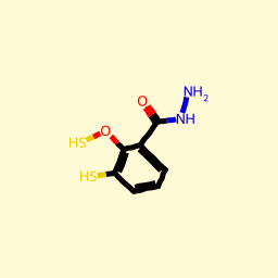 NNC(=O)c1cccc(S)c1OS